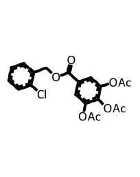 CC(=O)Oc1cc(C(=O)OCc2ccccc2Cl)cc(OC(C)=O)c1OC(C)=O